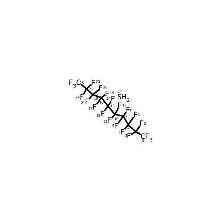 FC(F)(F)C(F)(F)C(F)(F)C(F)(F)C(F)(F)C(F)(F)C(F)(F)C(F)(F)C(F)(F)C(F)(F)F.S